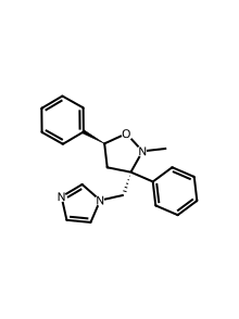 CN1O[C@H](c2ccccc2)C[C@]1(Cn1ccnc1)c1ccccc1